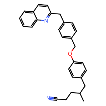 CC(CCC#N)Cc1ccc(OCc2ccc(Cc3ccc4ccccc4n3)cc2)cc1